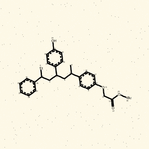 CCC(CC(CC(C)c1ccc(OCC(=O)OC(C)(C)C)cc1)c1ccc(O)cc1)c1ccccc1